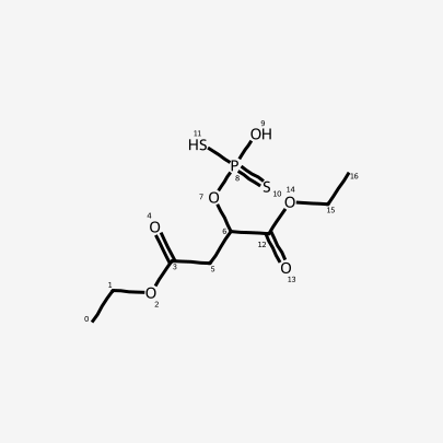 CCOC(=O)CC(OP(O)(=S)S)C(=O)OCC